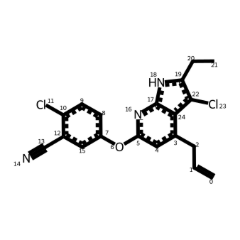 C=CCc1cc(Oc2ccc(Cl)c(C#N)c2)nc2[nH]c(CC)c(Cl)c12